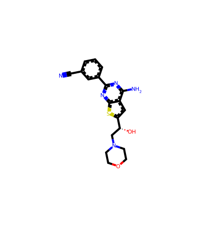 N#Cc1cccc(-c2nc(N)c3cc([C@H](O)CN4CCOCC4)sc3n2)c1